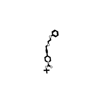 CC(C)(C)OC(=O)N1CCC(C#CCOCCOc2ccccc2)CC1